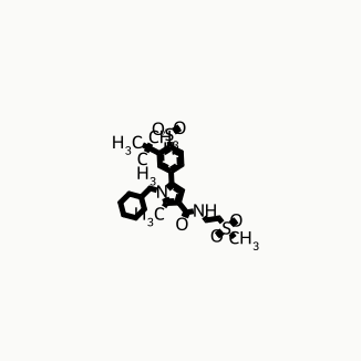 Cc1c(C(=O)NCCS(C)(=O)=O)cc(-c2ccc([SH](=O)=O)c(C(C)(C)C)c2)n1CC1CCCCC1